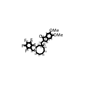 COc1cc2c(cc1OC)C(=O)C(CC1(F)CCCCCN(Cc3c(F)c(F)c(F)c(F)c3F)CC1)C2